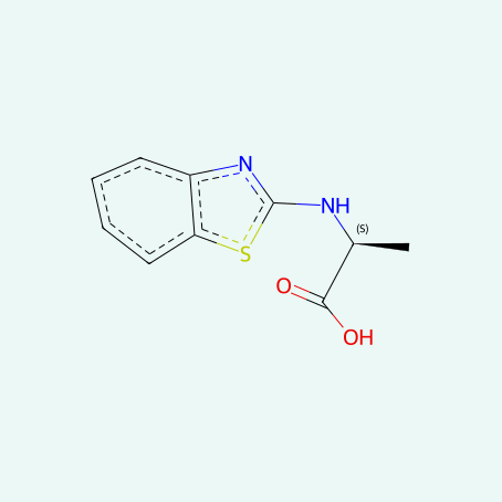 C[C@H](Nc1nc2ccccc2s1)C(=O)O